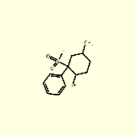 CC1CCC(C(C)C)C(c2ccccc2)(S(=O)(=O)F)C1